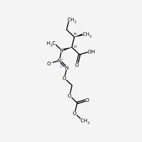 CC[C@@H](C)[C@@H](C(=O)O)N(C)/[N+]([O-])=N/OCOC(=O)OC